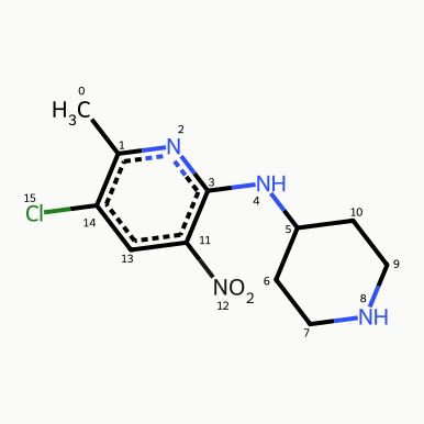 Cc1nc(NC2CCNCC2)c([N+](=O)[O-])cc1Cl